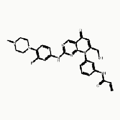 C=CC(=O)Nc1cccc(-n2c(CO)cc(=O)c3cnc(Nc4ccc(N5CCN(C)CC5)c(F)c4)nc32)c1